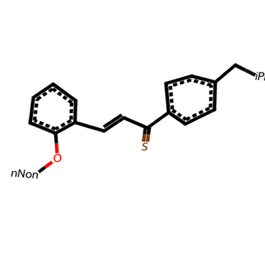 CCCCCCCCCOc1ccccc1C=CC(=S)c1ccc(CC(C)C)cc1